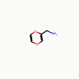 NCC1=COC=CO1